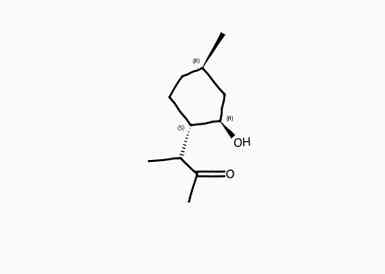 CC(=O)C(C)[C@@H]1CC[C@@H](C)C[C@H]1O